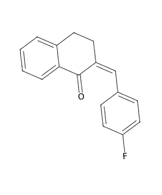 O=C1C(=Cc2ccc(F)cc2)CCc2ccccc21